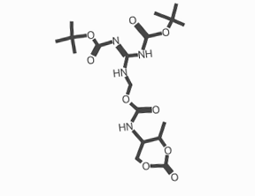 CC1OC(=O)OCC1NC(=O)OCN/C(=N\C(=O)OC(C)(C)C)NC(=O)OC(C)(C)C